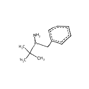 CC(C)(C)P(N)Cc1ccccc1